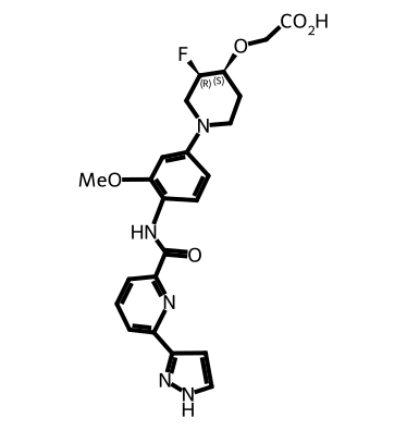 COc1cc(N2CC[C@H](OCC(=O)O)[C@H](F)C2)ccc1NC(=O)c1cccc(-c2cc[nH]n2)n1